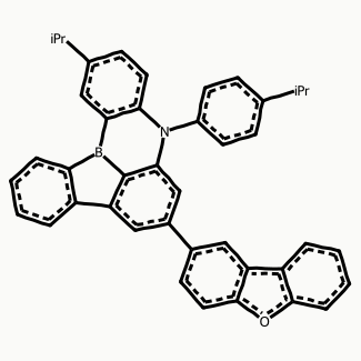 CC(C)c1ccc(N2c3ccc(C(C)C)cc3B3c4ccccc4-c4cc(-c5ccc6oc7ccccc7c6c5)cc2c43)cc1